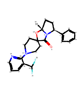 O=C1N2[C@@H](CC[C@H]2c2ccccc2)OC12CCN(c1ncccc1C(F)F)CC2